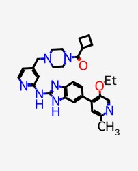 CCOc1cnc(C)cc1-c1ccc2nc(Nc3cc(CN4CCN(C(=O)C5CCC5)CC4)ccn3)[nH]c2c1